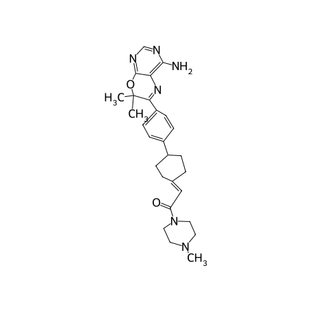 CN1CCN(C(=O)C=C2CCC(c3ccc(C4=Nc5c(N)ncnc5OC4(C)C)cc3)CC2)CC1